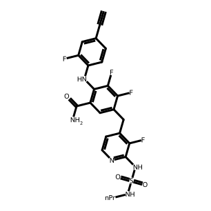 C#Cc1ccc(Nc2c(C(N)=O)cc(Cc3ccnc(NS(=O)(=O)NCCC)c3F)c(F)c2F)c(F)c1